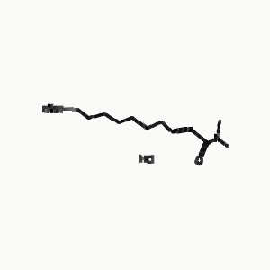 CCCCCCCCCCCCCCCCC=CC(=O)N(C)C.Cl